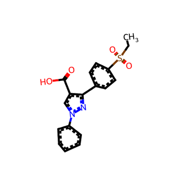 CCS(=O)(=O)c1ccc(-c2nn(-c3ccccc3)cc2C(=O)O)cc1